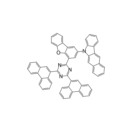 c1ccc2cc3c(cc2c1)c1ccccc1n3-c1cc(-c2nc(-c3cc4ccccc4c4ccccc34)nc(-c3cc4ccccc4c4ccccc34)n2)c2oc3ccccc3c2c1